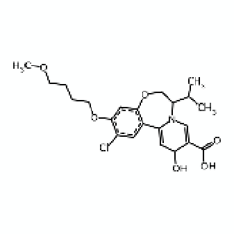 COCCCCOc1cc2c(cc1Cl)C1=CC(O)C(C(=O)O)=CN1C(C(C)C)CO2